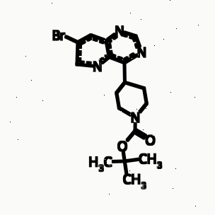 CC(C)(C)OC(=O)N1CCC(c2ncnc3cc(Br)cnc23)CC1